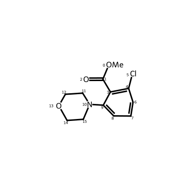 COC(=O)c1c(Cl)cccc1N1CCOCC1